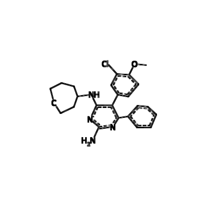 COc1ccc(-c2c(NC3CCCCCC3)nc(N)nc2-c2ccccc2)cc1Cl